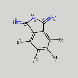 CCc1c(CC)c(CC)c2c(c1CC)C(=N)NC2=N